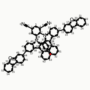 N#Cc1cc(C#N)c(-n2c3ccc(-c4ccc5c(c4)oc4ccccc45)cc3c3c4ccccc4ccc32)c(-n2c3ccc(-c4ccc5c(c4)oc4ccccc45)cc3c3c4ccccc4ccc32)c1